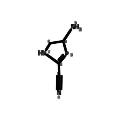 N#CC1=PC(N)CN1